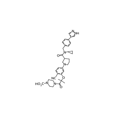 CC(C)(Oc1cc(N2CCCC(C(=O)N(Cc3ccc(-c4cn[nH]c4)cc3)C3CC3)C2)ccc1C#N)C(=O)N1CCN(C(=O)O)CC1